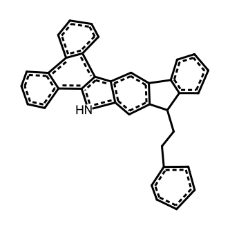 c1ccc(CCC2c3ccccc3-c3cc4c(cc32)[nH]c2c3ccccc3c3ccccc3c42)cc1